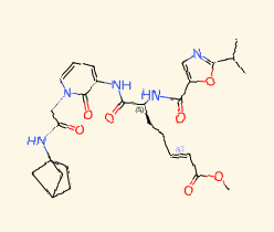 COC(=O)/C=C/CC[C@H](NC(=O)c1cnc(C(C)C)o1)C(=O)Nc1cccn(CC(=O)NC23CCC(C2)C3)c1=O